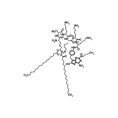 CCCCCCCCCCCCCCCCC(=O)OCC(CSC[C@H](N)C(=O)N[C@@H](CO)C(=O)N[C@@H](CCCCN)C(=O)N[C@@H](CCCCN)C(=O)N[C@@H](CCCCN)C(=O)N[C@@H](CCCCN)C(=O)Nc1ccc(Cn2c(O)nc3c(N)nc(NCCCC)nc32)cc1)OC(=O)CCCCCCCCCCCCCCC